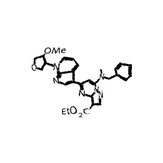 CCOC(=O)c1cnn2c(N(C)Cc3ccccc3)cc(-c3cnc4n(C5COC[C@@H]5OC)cccc3-4)nc12